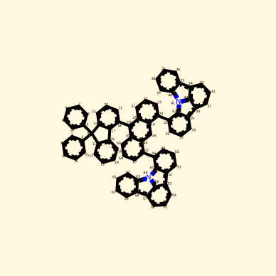 c1ccc(C2(c3ccccc3)c3ccccc3-c3c(-c4c5cccc(-c6cccc7c8cccc9c%10ccccc%10n(c67)c98)c5cc5c(-c6cccc7c8cccc9c%10ccccc%10n(c67)c98)cccc45)cccc32)cc1